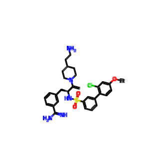 C=C([C@H](Cc1cccc(C(=N)N)c1)NS(=O)(=O)c1cccc(-c2ccc(OCC)cc2Cl)c1)N1CCC(CCN)CC1